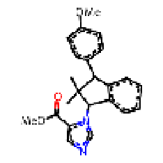 COC(=O)c1cncn1C1c2ccccc2C(c2ccc(OC)cc2)C1(C)C